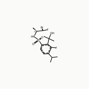 CC(C)c1ccc(S(=O)(=O)N[C@@H](C)C(F)(F)F)c(C(C)(C)O)c1F